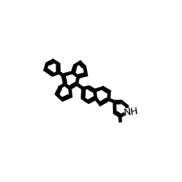 CC1=CC(c2ccc3cc(-c4c5ccccc5c(-c5ccccc5)c5ccccc45)ccc3c2)=CCN1